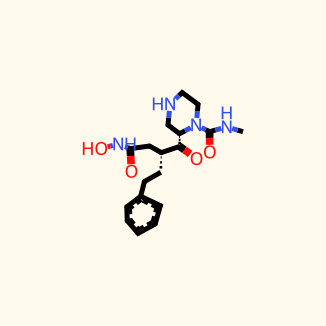 CNC(=O)N1CCNC[C@H]1C(=O)[C@H](CCc1ccccc1)CC(=O)NO